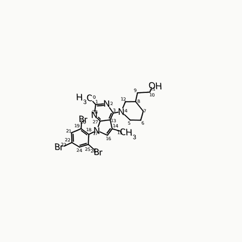 Cc1nc(N2CCCC(CCO)C2)c2c(C)cn(-c3c(Br)cc(Br)cc3Br)c2n1